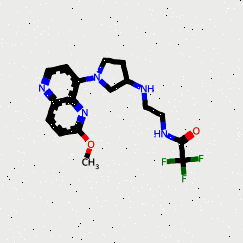 COc1ccc2nccc(N3CCC(NCCNC(=O)C(F)(F)F)C3)c2n1